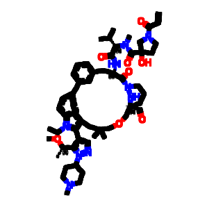 C=CC(=O)N1CCC(O)(C(=O)N(C)[C@H](C(=O)N[C@H]2Cc3cccc(c3)-c3ccc4c(c3)c(c(-c3cnn(C5CCN(C)CC5)c3[C@H](C)OC)n4CC)CC(C)(C)COC[C@@]3(C=O)CCCN(N3)C2=O)C(C)C)C1